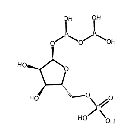 O=P(O)(O)OC[C@H]1O[C@H](OP(O)OP(O)O)[C@H](O)[C@@H]1O